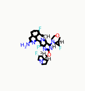 [2H]C([2H])(Oc1nc(N2CCOC[C@H]3[C@H](F)[C@H]32)c2cnc(-c3nc(N)cc4ccc(F)c(C#C)c34)c(F)c2n1)[C@@]12CCCN1C[C@H](F)C2